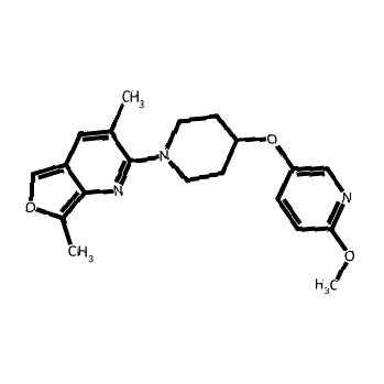 COc1ccc(OC2CCN(c3nc4c(C)occ4cc3C)CC2)cn1